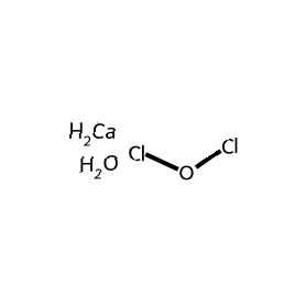 ClOCl.O.[CaH2]